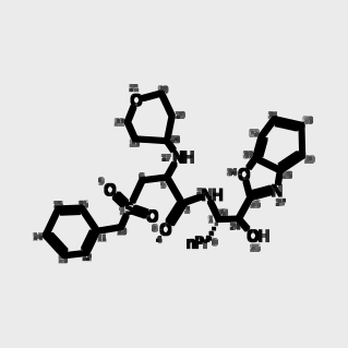 CCC[C@H](NC(=O)C(CS(=O)(=O)Cc1ccccc1)NC1CCOCC1)C(O)c1nc2ccccc2o1